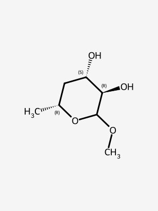 COC1O[C@H](C)C[C@H](O)[C@H]1O